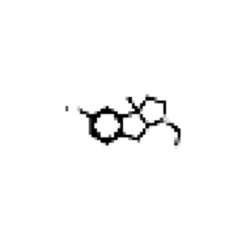 CCN1CCC2(C)c3cc(O)ccc3CC12